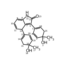 CC1(O)C=CC(C2=C3C(=CC=CC3C3=CCC(C)(O)C=C3)NC2=O)=CC1